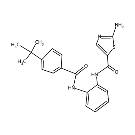 CC(C)(C)c1ccc(C(=O)Nc2ccccc2NC(=O)c2cnc(N)s2)cc1